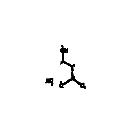 Cl.OCCC(Cl)Cl